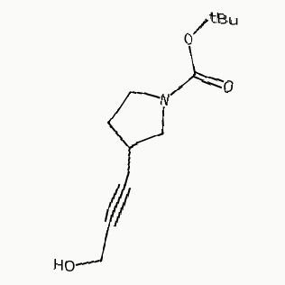 CC(C)(C)OC(=O)N1CCC(C#CCO)C1